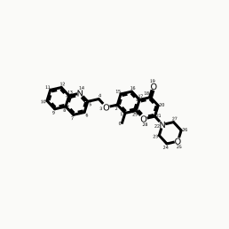 Cc1c(OCc2ccc3ccccc3n2)ccc2c(=O)cc(N3CCOCC3)oc12